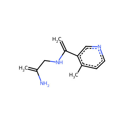 C=C(N)CNC(=C)c1cnccc1C